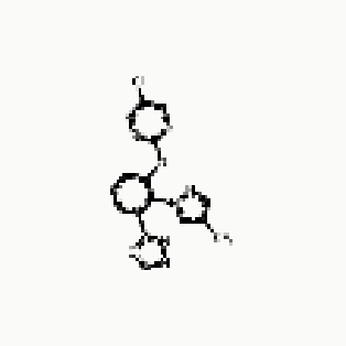 FC(F)(F)c1cnn(-c2c(Oc3ncc(Cl)cn3)cccc2-c2nnco2)c1